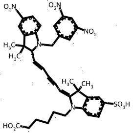 CC1(C)C(=CC=CC=CC2N(Cc3cc([N+](=O)[O-])cc([N+](=O)[O-])c3)c3ccc([N+](=O)[O-])cc3C2(C)C)N(CCCCCC(=O)O)c2ccc(S(=O)(=O)O)cc21